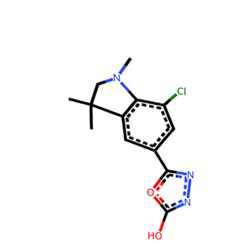 CN1CC(C)(C)c2cc(-c3nnc(O)o3)cc(Cl)c21